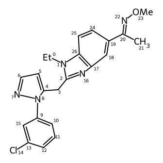 CCn1c(Cc2ccnn2-c2cccc(Cl)c2)nc2cc(C(C)=NOC)ccc21